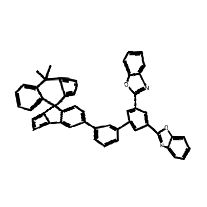 CC1(C)c2ccccc2C2(c3ccccc3-c3cc(-c4cccc(-c5cc(-c6nc7ccccc7o6)cc(-c6nc7ccccc7o6)c5)c4)ccc32)c2ccccc21